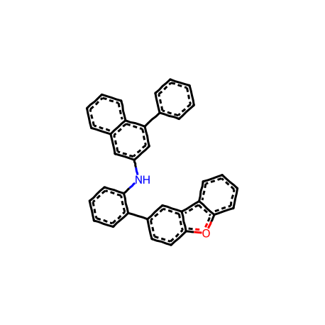 c1ccc(-c2cc(Nc3ccccc3-c3ccc4oc5ccccc5c4c3)cc3ccccc23)cc1